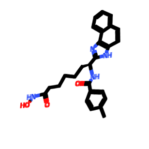 Cc1ccc(C(=O)N[C@@H](CCCCCC(=O)NO)c2nc3c(ccc4ccccc43)[nH]2)cc1